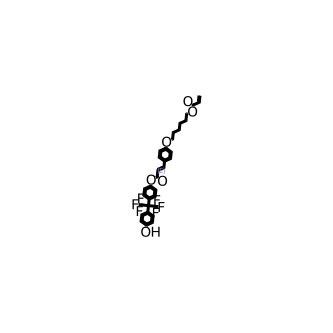 C=CC(=O)OCCCCCCOc1ccc(/C=C/C(=O)Oc2ccc(C(c3ccc(O)cc3)(C(F)(F)F)C(F)(F)F)cc2)cc1